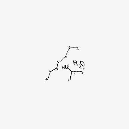 CC(C)O.CCCCCCC.O